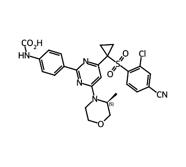 C[C@H]1COCCN1c1cc(C2(S(=O)(=O)c3ccc(C#N)cc3Cl)CC2)nc(-c2ccc(NC(=O)O)cc2)n1